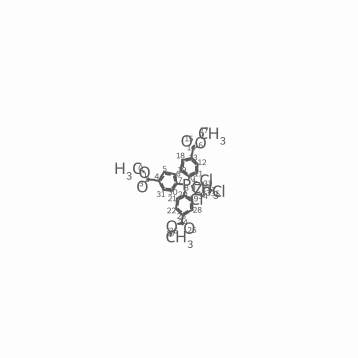 COC(=O)c1ccc([P+](C)(c2ccc(C(=O)OC)cc2)c2ccc(C(=O)OC)cc2)cc1.[Cl][Zn-]([Cl])[Cl]